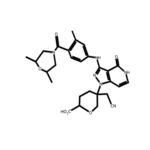 Cc1cc(Nc2nn(C3(CC#N)CCC(C(=O)O)OC3)c3cc[nH]c(=O)c23)ccc1C(=O)N1CC(C)OC(C)C1